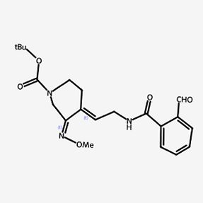 CO/N=C1/CN(C(=O)OC(C)(C)C)CC/C1=C\CNC(=O)c1ccccc1C=O